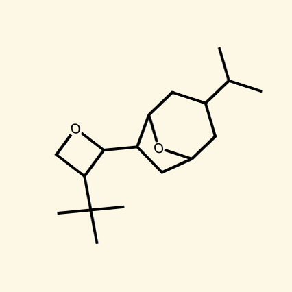 CC(C)C1CC2CC(C3OCC3C(C)(C)C)C(C1)O2